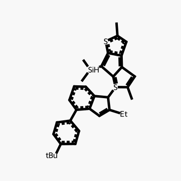 CCC1=Cc2c(-c3ccc(C(C)(C)C)cc3)cccc2C1S1=C2C(=c3cc(C)sc3=C2[SiH](C)C)C=C1C